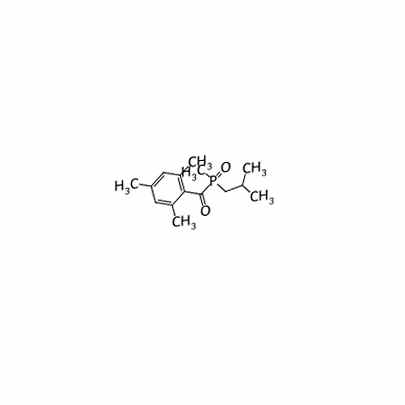 Cc1cc(C)c(C(=O)P(C)(=O)CC(C)C)c(C)c1